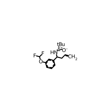 C=CCC(N[S@@+]([O-])C(C)(C)C)c1cccc(OC(F)F)c1